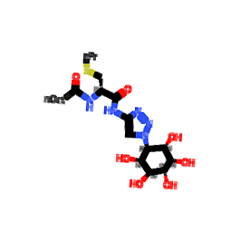 [CH2][CH]CSC[C@@H](NC(=O)CCCCCCCC)C(=O)Nc1cn([C@@H]2[C@H](O)[C@H](O)[C@@H](O)[C@H](O)[C@H]2O)nn1